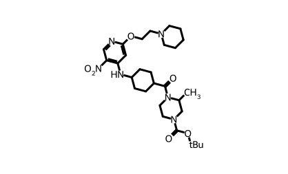 CC1CN(C(=O)OC(C)(C)C)CCN1C(=O)C1CCC(Nc2cc(OCCN3CCCCC3)ncc2[N+](=O)[O-])CC1